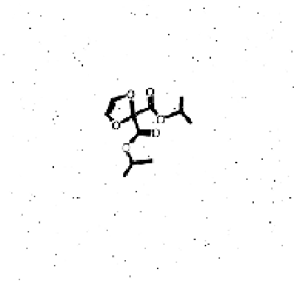 CC(C)OC(=O)C1(C(=O)OC(C)C)OC=CO1